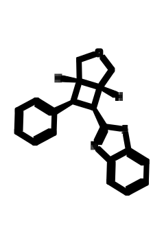 c1ccc([C@H]2[C@@H]3COC[C@@H]3[C@H]2c2nc3ccccc3s2)cc1